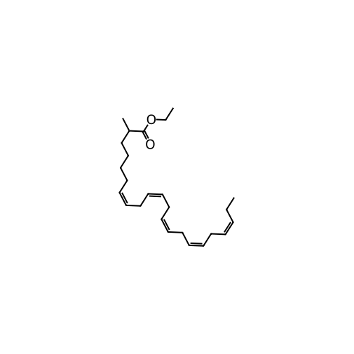 CC/C=C\C/C=C\C/C=C\C/C=C\C/C=C\CCCCC(C)C(=O)OCC